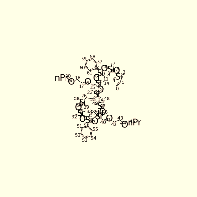 C=C[Si](C)(C)O[Si](C)(C)O[Si](C)(O[Si](C)(COCCOCCC)O[Si](C)(C)CC[Si](C)(C)O[Si](C)(C)O[Si](C)(O[Si](C)(COCCOCCC)O[SiH](C)C)c1ccccc1)c1ccccc1